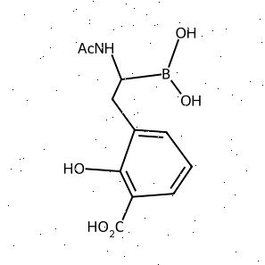 CC(=O)NC(Cc1cccc(C(=O)O)c1O)B(O)O